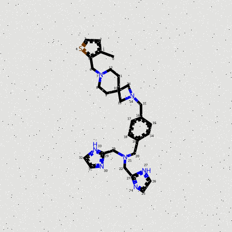 Cc1ccsc1CN1CCC2(CC1)CN(Cc1ccc(CN(Cc3ncc[nH]3)Cc3ncc[nH]3)cc1)C2